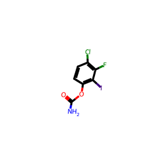 NC(=O)Oc1ccc(Cl)c(F)c1I